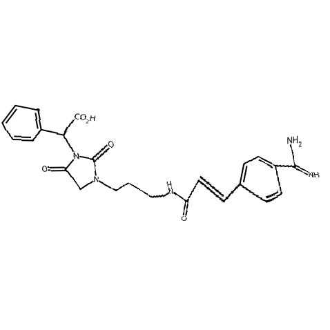 N=C(N)c1ccc(C=CC(=O)NCCCN2CC(=O)N(C(C(=O)O)c3ccccc3)C2=O)cc1